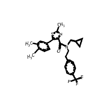 Cc1nc(C(=O)N(CCc2ccc(C(F)(F)F)cc2)CC2CC2)c(-c2ccc(C)c(C)c2)s1